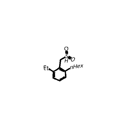 CCCCCCc1cccc(CC)c1C[SH](=O)=O